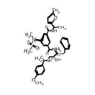 COc1ccc([C@@H](C)NC[C@@H](O)[C@H](Cc2ccccc2)NC(=O)c2cc(C(=O)NC(C)c3ccc(C)o3)cc(N(C)S(C)(=O)=O)c2)cc1